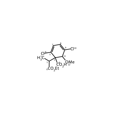 CCOC(=O)C(C)C1(C(=O)O)C(Cl)=CC=C(Cl)C1OC